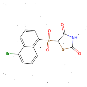 O=C1NC(=O)C(S(=O)(=O)c2cccc3c(Br)cccc23)S1